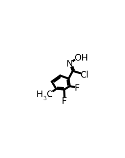 Cc1ccc(/C(Cl)=N/O)c(F)c1F